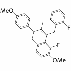 COc1ccc(C2Cc3ccc(OC)c(F)c3C(Cc3ccccc3F)=C2C)cc1